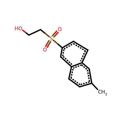 Cc1ccc2cc(S(=O)(=O)CCO)ccc2c1